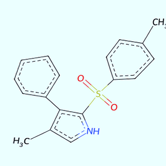 Cc1ccc(S(=O)(=O)c2[nH]cc(C)c2-c2ccccc2)cc1